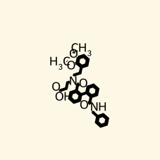 COc1cccc(CCN(CCC(=O)O)C(=O)c2ccccc2-c2ccccc2C(=O)NCc2ccccc2)c1OC